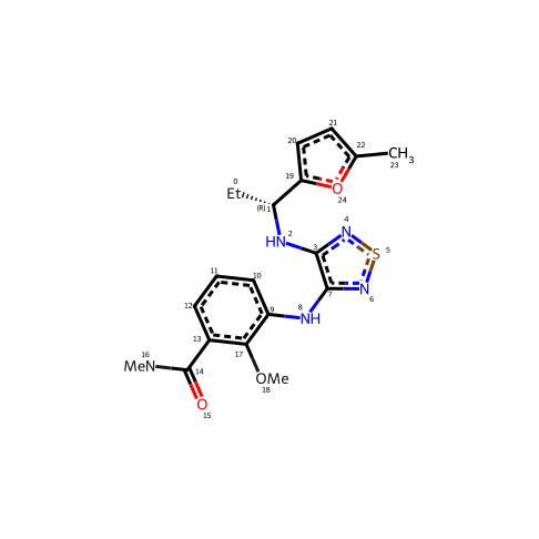 CC[C@@H](Nc1nsnc1Nc1cccc(C(=O)NC)c1OC)c1ccc(C)o1